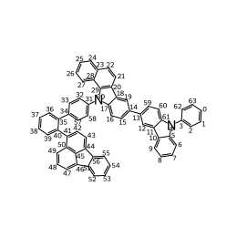 c1ccc(-n2c3ccccc3c3cc(-c4ccc5c(c4)c4ccc6ccccc6c4n5-c4ccc(-c5ccccc5-c5ccc6c7c(cccc57)-c5ccccc5-6)cc4)ccc32)cc1